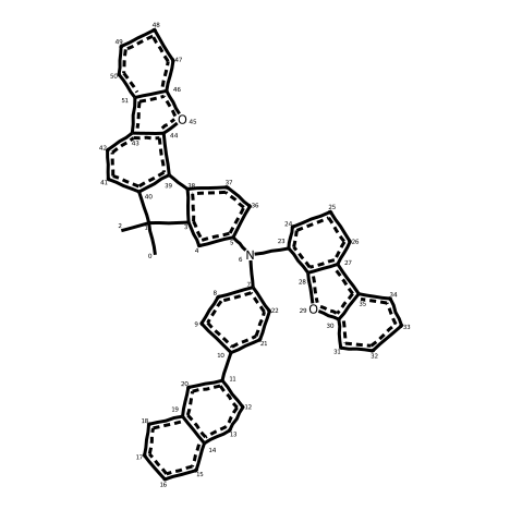 CC1(C)c2cc(N(c3ccc(-c4ccc5ccccc5c4)cc3)c3cccc4c3oc3ccccc34)ccc2-c2c1ccc1c2oc2ccccc21